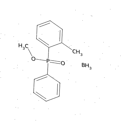 B.COP(=O)(c1ccccc1)c1ccccc1C